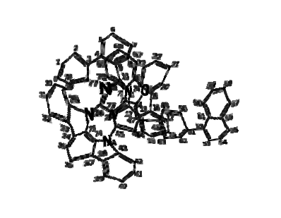 c1ccc(-c2ccccc2-c2nc(-c3ccccc3-c3ccccc3)nc(-n3c4ccccc4c4ccc5c6ccccc6n(-c6cc(-c7ccc(-c8cccc9ccccc89)cc7)c7oc8ccccc8c7c6)c5c43)n2)cc1